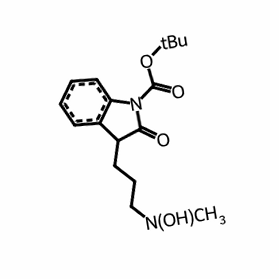 CN(O)CCCC1C(=O)N(C(=O)OC(C)(C)C)c2ccccc21